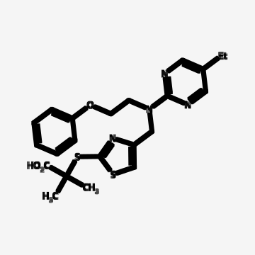 CCc1cnc(N(CCOc2ccccc2)Cc2csc(SC(C)(C)C(=O)O)n2)nc1